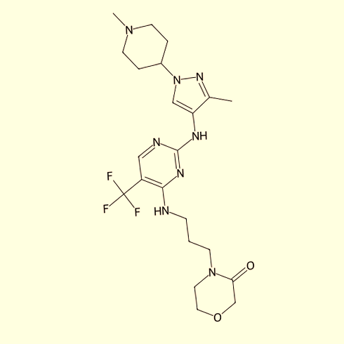 Cc1nn(C2CCN(C)CC2)cc1Nc1ncc(C(F)(F)F)c(NCCCN2CCOCC2=O)n1